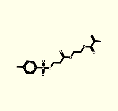 C=C(C)C(=O)OCCOC(=O)CCOS(=O)(=O)c1ccc(C)cc1